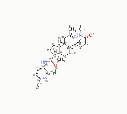 CC1=C2N(C)C(=O)CC[C@]2(C)[C@@H]2CC[C@]3(C)C(C(=O)Nc4ccc(C(F)(F)F)nc4Cl)CC[C@H]3[C@@H]2C1